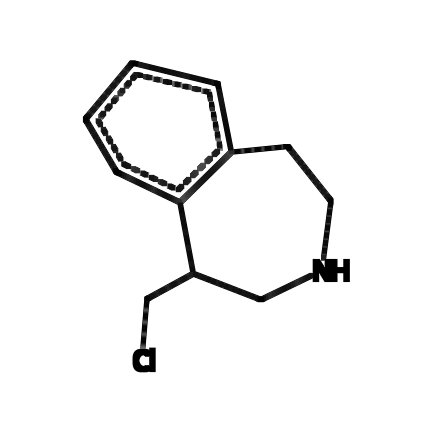 ClCC1CNCCc2ccccc21